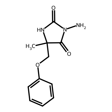 CC1(COc2ccccc2)NC(=O)N(N)C1=O